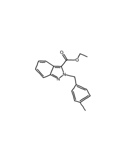 CCOC(=O)c1c2ccccc2nn1Cc1ccc(C)cc1